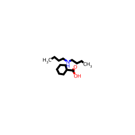 CCCCNCCCC.O=C(O)C1CCCCC1